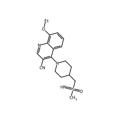 CCOc1cccc2c(N3CCC(CS(C)(=N)=O)CC3)c(C#N)cnc12